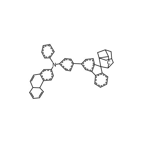 C1=CC2C=Cc3cc(N(c4ccccc4)c4ccc(-c5ccc6c(c5)-c5ccccc5C65C6CC7CC8CC5(C7)C8C6)cc4)ccc3C2C=C1